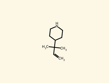 C=CC(C)(C)C1CCNCC1